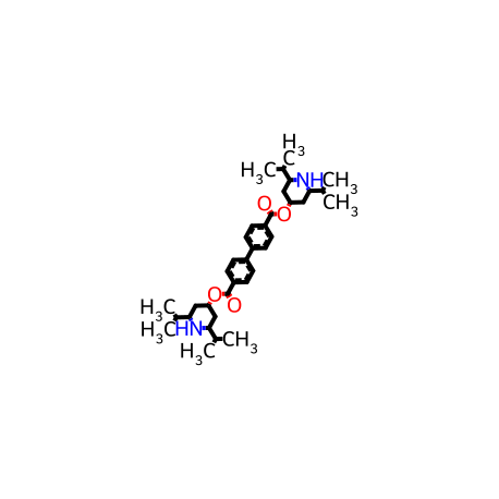 CC(C)C1CC(OC(=O)c2ccc(-c3ccc(C(=O)OC4CC(C(C)C)NC(C(C)C)C4)cc3)cc2)CC(C(C)C)N1